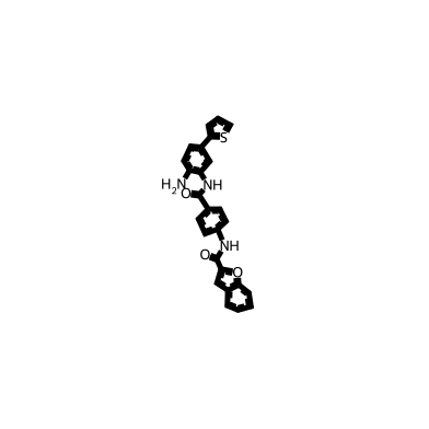 Nc1ccc(-c2cccs2)cc1NC(=O)c1ccc(NC(=O)c2cc3ccccc3o2)cc1